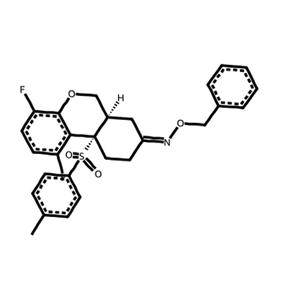 Cc1ccc(S(=O)(=O)[C@@]23CC/C(=N/OCc4ccccc4)C[C@@H]2COc2c(F)ccc(F)c23)cc1